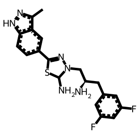 Cc1n[nH]c2ccc(C3=NN(C[C@H](N)Cc4cc(F)cc(F)c4)C(N)S3)cc12